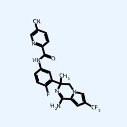 CC1(c2cc(NC(=O)c3ccc(C#N)cn3)ccc2F)Cn2cc(C(F)(F)F)cc2C(N)=N1